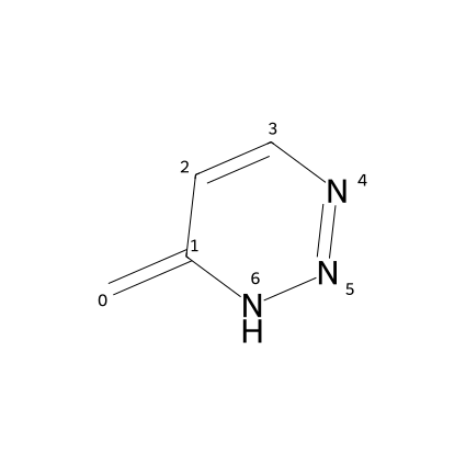 C=C1C=CN=NN1